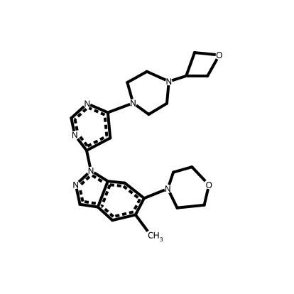 Cc1cc2cnn(-c3cc(N4CCN(C5COC5)CC4)ncn3)c2cc1N1CCOCC1